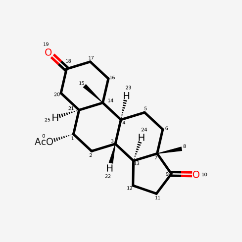 CC(=O)O[C@H]1C[C@@H]2[C@H](CC[C@]3(C)C(=O)CC[C@@H]23)[C@@]2(C)CCC(=O)C[C@H]12